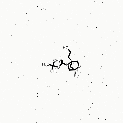 CC(C)(C)OC(=O)N1C[C@@H]2C[C@@]1(CCO)CO2